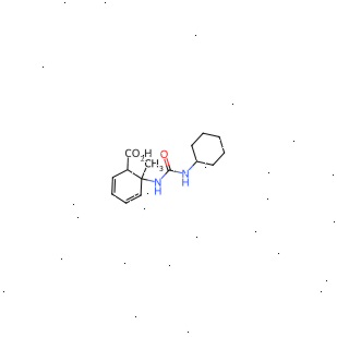 CC1(NC(=O)NC2CCCCC2)C=CC=CC1C(=O)O